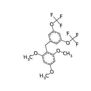 COc1cc(OC)c(Cc2cc(OC(F)(F)F)cc(OC(F)(F)F)c2)c(OC)c1